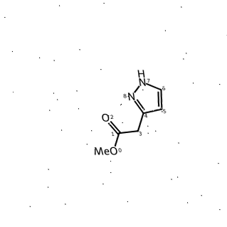 COC(=O)Cc1[c]c[nH]n1